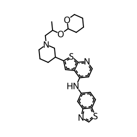 CC(CN1CCCC(c2cc3c(Nc4ccc5scnc5c4)ccnc3s2)C1)OC1CCCCO1